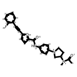 CC(=O)N(C)C1CCN(c2ccc(NC(=O)c3ccc(C#Cc4ccccc4F)o3)cc2)C1